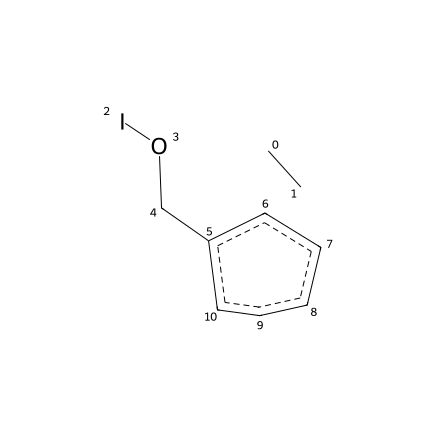 CC.IOCc1ccccc1